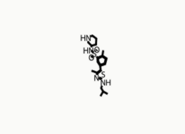 Cc1ccc(-c2sc(NCC(C)C)nc2C)cc1S(=O)(=O)NC1CCCNC1